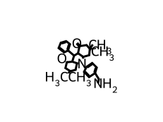 CC1(C)CC(=O)C2C(c3ccccc3)C3C(=O)CC(C)(C)CC3N(c3ccc(CN)cc3)C2C1